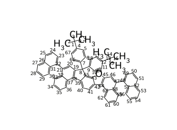 CC(C)(C)c1ccc(C2(c3ccc(C(C)(C)C)cc3)c3cc(-c4cccc5ccccc45)c4ccccc4c3-c3ccc4c(oc5cc(-c6cccc7ccccc67)c6ccccc6c54)c32)cc1